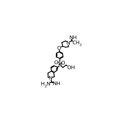 CC(=N)N1CCC(Oc2ccc(S(=O)(=O)N(CCO)c3ccc4c(c3)CN(C(=N)N)CC4)cc2)CC1